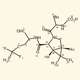 CC(F)(F)CCC(C=O)NC(=O)[C@@H]1[C@@H]2[C@H](CN1C(=O)C(NC(=O)O)C(C)(C)C)C2(C)C